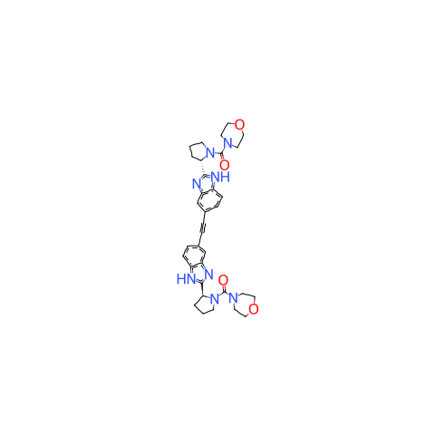 O=C(N1CCOCC1)N1CCC[C@H]1c1nc2cc(C#Cc3ccc4[nH]c([C@@H]5CCCN5C(=O)N5CCOCC5)nc4c3)ccc2[nH]1